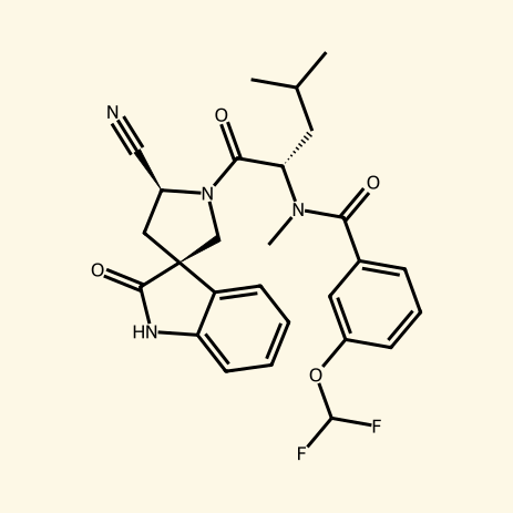 CC(C)C[C@@H](C(=O)N1C[C@]2(C[C@H]1C#N)C(=O)Nc1ccccc12)N(C)C(=O)c1cccc(OC(F)F)c1